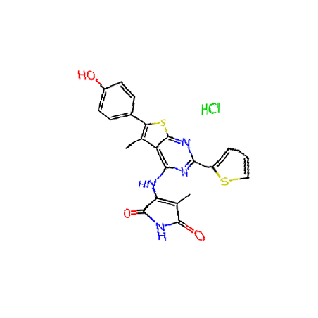 CC1=C(Nc2nc(-c3cccs3)nc3sc(-c4ccc(O)cc4)c(C)c23)C(=O)NC1=O.Cl